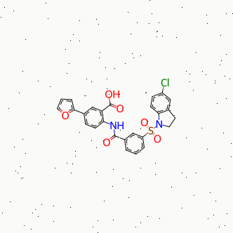 O=C(Nc1ccc(-c2ccco2)cc1C(=O)O)c1cccc(S(=O)(=O)N2CCc3cc(Cl)ccc32)c1